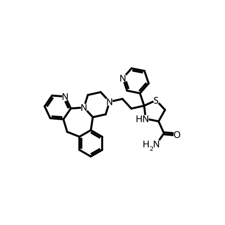 NC(=O)C1CSC(CCN2CCN3c4ncccc4Cc4ccccc4C3C2)(c2cccnc2)N1